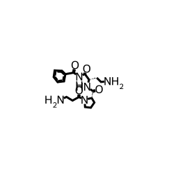 NCCC(=O)N1CCC[C@H]1C(=O)N[C@@H](CCN)C(=O)NC(=O)c1ccccc1